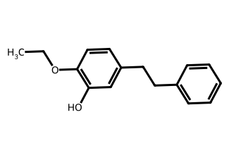 CCOc1ccc(CCc2ccccc2)cc1O